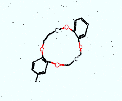 Cc1ccc2c(c1)OCCCOc1ccccc1OCCCO2